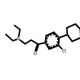 CCN(CC)CCC(=O)c1ccc(C2CCCCC2)c(Cl)c1